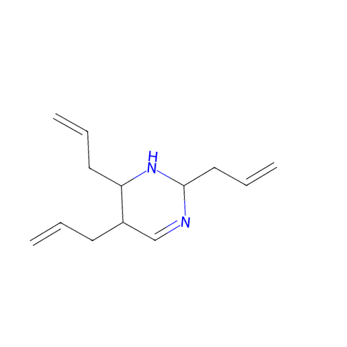 C=CCC1N=CC(CC=C)C(CC=C)N1